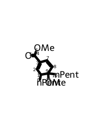 CCCCCC1C=C(C(=O)OC)C=CC1(CCCCC)OC